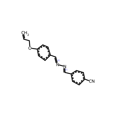 C=CCOc1ccc(/C=N/N=C/c2ccc(C#N)cc2)cc1